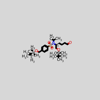 CC(C)N([C@@H](CCCC=O)CO[Si](C)(C)C(C)(C)C)S(=O)(=O)c1ccc(CO[Si](C)(C)C(C)(C)C)cc1